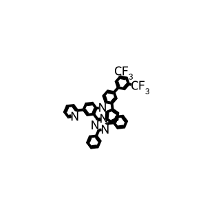 FC(F)(F)c1cc(-c2ccc3c(c2)c2ccccc2n3-c2ccc(-c3ccccn3)cc2-c2nc(-c3ccccc3)nc(-c3ccccc3)n2)cc(C(F)(F)F)c1